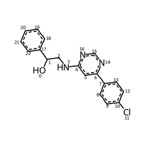 OC(CNc1cc(-c2ccc(Cl)cc2)ncn1)c1ccccc1